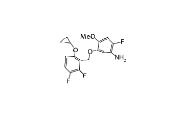 COc1cc(F)c(N)cc1OCc1c(OC2CC2)ccc(F)c1F